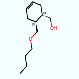 CCCCOC[C@H]1CC=CC[C@@H]1CO